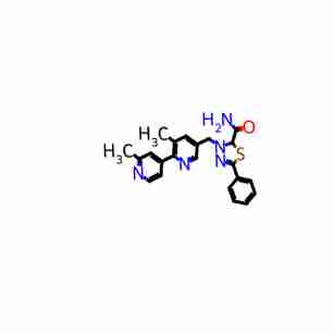 Cc1cc(-c2ncc(CN3N=C(c4ccccc4)SC3C(N)=O)cc2C)ccn1